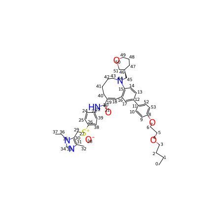 CCCCOCCOc1ccc(-c2ccc3c(c2)/C=C(/C(=O)Nc2ccc([S@+]([O-])Cc4c(C)ncn4CC)cc2)CCCCN3C[C@@H]2CCCOC2)cc1